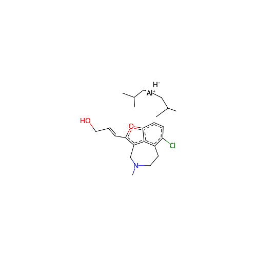 CC(C)[CH2][Al+][CH2]C(C)C.CN1CCc2c(Cl)ccc3oc(/C=C/CO)c(c23)C1.[H-]